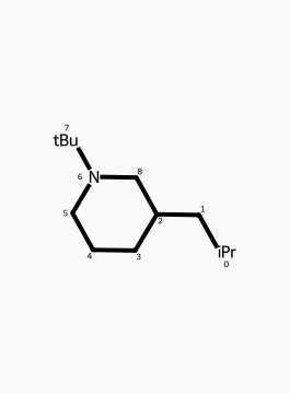 CC(C)CC1CCCN(C(C)(C)C)C1